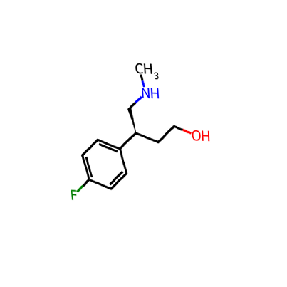 CNC[C@@H](CCO)c1ccc(F)cc1